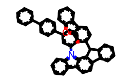 c1ccc(-c2ccc(-c3cccc(-n4c5ccccc5c5ccc6c(c54)C(c4ccc5c(c4)oc4ccccc45)c4ccccc4-6)c3)cc2)cc1